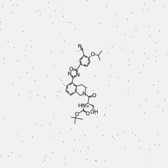 CC(C)Oc1ccc(-c2nc(-c3cccc4c3CCN(C(=O)[C@@H](CO)NC(=O)OC(C)(C)C)C4)no2)cc1C#N